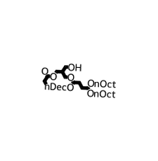 CCCCCCCCCCCC(=O)OCC(CO)COC(=O)CCC(OCCCCCCCC)OCCCCCCCC